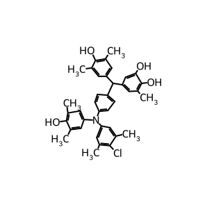 Cc1cc(C(c2ccc(N(c3cc(C)c(O)c(C)c3)c3cc(C)c(Cl)c(C)c3)cc2)c2cc(C)c(O)c(O)c2)cc(C)c1O